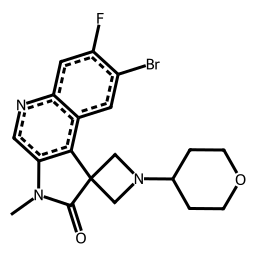 CN1C(=O)C2(CN(C3CCOCC3)C2)c2c1cnc1cc(F)c(Br)cc21